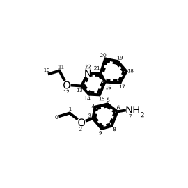 CCOc1ccc(N)cc1.CCOc1ccc2ccccc2n1